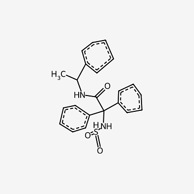 CC(NC(=O)C(N[SH](=O)=O)(c1ccccc1)c1ccccc1)c1ccccc1